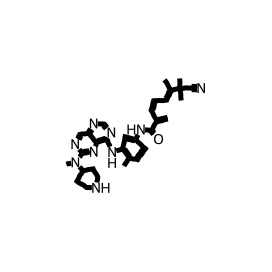 C=C(/C=C\C=C(/C)C(C)(C)C#N)C(=O)Nc1ccc(C)c(Nc2ncnc3cnc(N(C)C4CCNCC4)nc23)c1